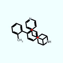 Cc1ccccc1-c1ccc(C2C3CN(Cc4ccncc4)CC2N3)cc1